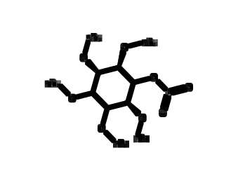 CCCCOC1C(OCCCC)[C@@H](OCCCC)[C@@H](OCCCC)C(OP(=O)=O)[C@H]1OCCCC